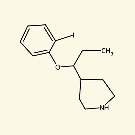 CCC(Oc1ccccc1I)C1CCNCC1